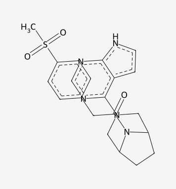 CS(=O)(=O)c1ccc(CC(=O)N2C3CCC2CN(c2ncnc4[nH]ccc24)C3)cc1